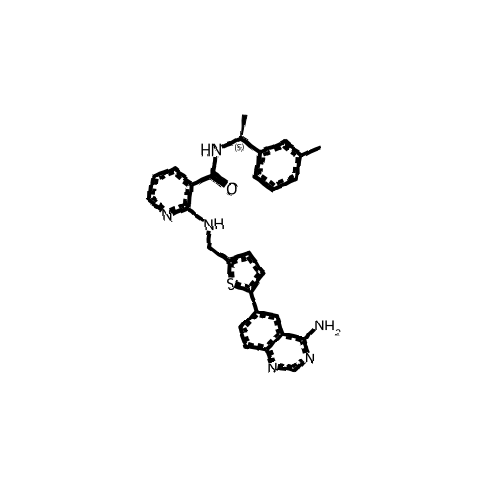 Cc1cccc([C@H](C)NC(=O)c2cccnc2NCc2ccc(-c3ccc4ncnc(N)c4c3)s2)c1